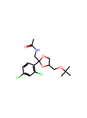 CC(=O)NCC1(c2ccc(Cl)cc2Cl)OCC(COC(C)(C)C)O1